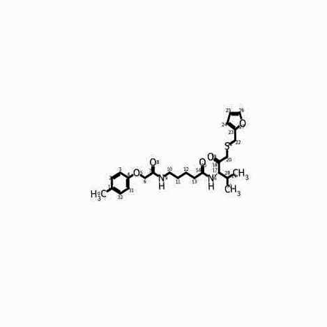 Cc1ccc(OCC(=O)NCCCCC(=O)N[C@H](C(=O)CSCc2ccco2)C(C)C)cc1